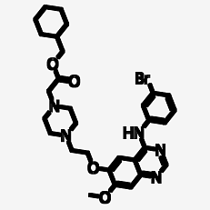 COc1cc2ncnc(Nc3cccc(Br)c3)c2cc1OCCN1CCN(CC(=O)OCC2CCCCC2)CC1